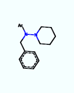 CC(=O)N(Cc1ccccc1)N1CCCCC1